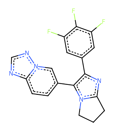 Fc1cc(-c2nc3n(c2-c2ccc4ncnn4c2)CCC3)cc(F)c1F